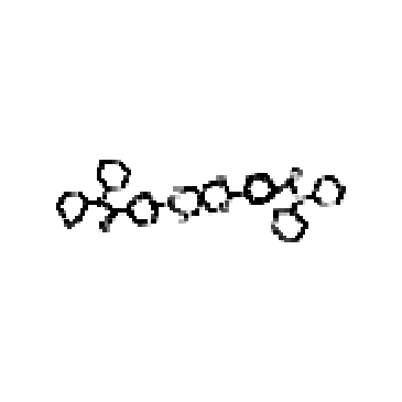 O=C(c1ccc(C2OCC3(CO2)COC(c2ccc(C(=O)N(C4CCCCC4)C4CCCCC4)cc2)OC3)cc1)N(C1CCCCC1)C1CCCCC1